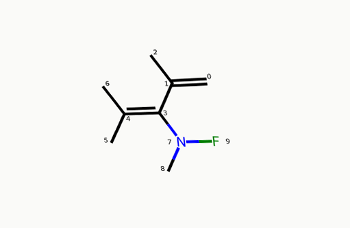 C=C(C)C(=C(C)C)N(C)F